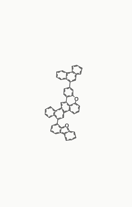 c1ccc2c(c1)cc(-c1ccc3c(c1)Oc1cccc4c1c-3cc1c3ccccc3c(-c3cccc5c3oc3ccccc35)cc41)c1ccccc12